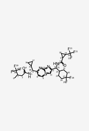 CC(CC(=O)N[C@@H](c1ccn2cc([C@@H](NC(=O)C3CC3C(F)(F)F)C3CCC(F)(F)CC3)nc2n1)C1CC1)C(F)(F)F